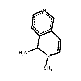 CN1C=Cc2cnccc2C1N